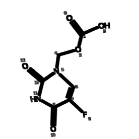 O=C(O)OCn1cc(F)c(=O)[nH]c1=O